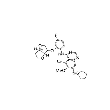 COc1c(N=S2CCCC2)cc2ncnc(Nc3ccc(F)cc3OC3CO[C@@H]4CCO[C@H]34)c2c1Cl